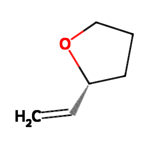 C=C[C@H]1CCCO1